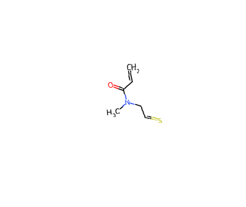 C=CC(=O)N(C)CC=S